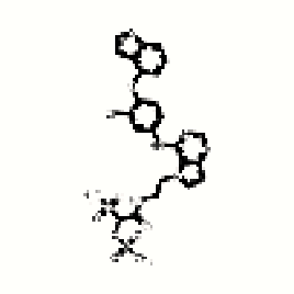 CS(=O)(=O)OC(C(=O)NCCn1ccc2ncnc(Nc3ccc(Oc4cccc5sccc45)c(Cl)c3)c21)S(C)(=O)=O